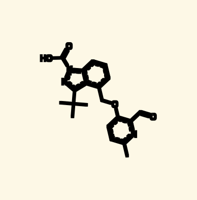 Cc1ccc(OCc2cccc3c2c(C(C)(C)C)nn3C(=O)O)c(C=O)n1